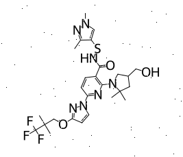 Cc1nn(C)cc1SNC(=O)c1ccc(-n2ccc(OCC(C)(C)C(F)(F)F)n2)nc1N1CC(CO)CC1(C)C